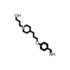 N=Cc1ccc(OCCCC2CCN(CCCO)CC2)cc1